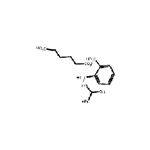 CCCC(O)O.O=C(O)CCCCC(=O)O.O=C(O)c1ccccc1C(=O)O